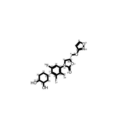 O=C1O[C@@H](COc2ccon2)CN1c1cc(F)c([C@H]2CCC(O)C(O)C2)c(F)c1F